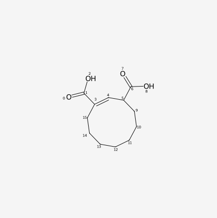 O=C(O)C1=CC(C(=O)O)CCCCCCC1